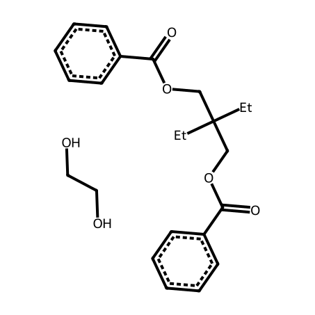 CCC(CC)(COC(=O)c1ccccc1)COC(=O)c1ccccc1.OCCO